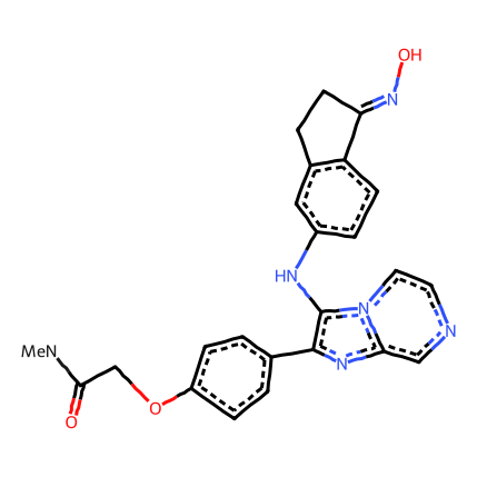 CNC(=O)COc1ccc(-c2nc3cnccn3c2Nc2ccc3c(c2)CCC3=NO)cc1